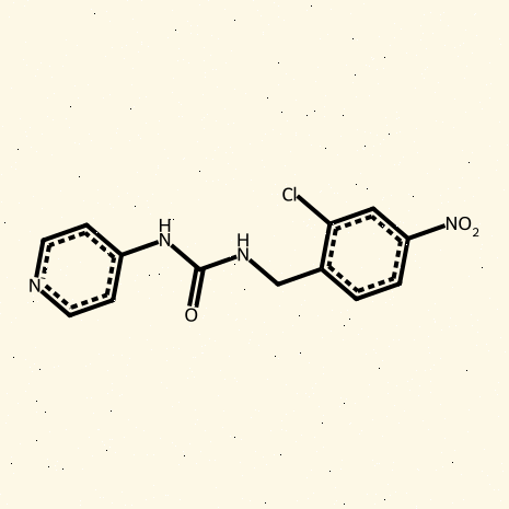 O=C(NCc1ccc([N+](=O)[O-])cc1Cl)Nc1ccncc1